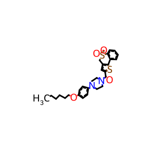 CCCCCCOc1ccc(N2CCN(C(=O)c3cc4c(s3)-c3ccccc3S(=O)(=O)C4)CC2)cc1